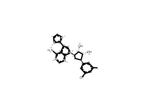 Cc1cc(Cl)cc([C@H]2C[C@@H](n3cc(-c4nccs4)c4c(N)ncnc43)[C@H](O)[C@@H]2O)c1